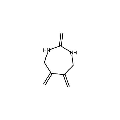 C=C1NCC(=C)C(=C)CN1